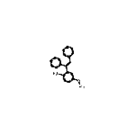 COc1ccc(N)c(/C(=C/c2ccccc2)c2ccccc2)c1